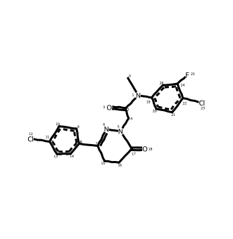 CN(C(=O)CN1N=C(c2ccc(Cl)cc2)CCC1=O)c1ccc(Cl)c(F)c1